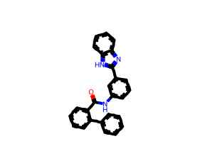 O=C(Nc1cccc(-c2nc3ccccc3[nH]2)c1)c1ccccc1-c1ccccc1